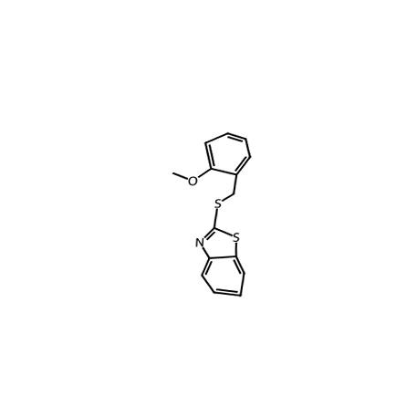 COc1ccccc1CSc1nc2ccccc2s1